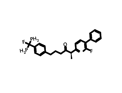 C=C(/C=C\C(=C(/C)F)c1ccccc1)[C@@H](C)C(=O)CCCc1ccc(C(F)(P)P)cc1